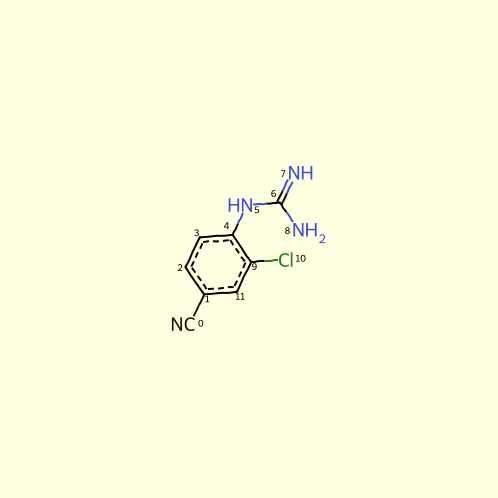 N#Cc1ccc(NC(=N)N)c(Cl)c1